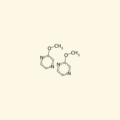 COc1cnccn1.COc1cnccn1